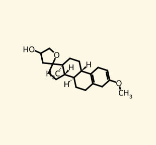 COC1=CCC2=C(CC[C@@H]3[C@@H]2CC[C@@]2(C)[C@H]3CCC23CC(O)CO3)C1